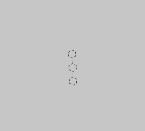 COc1[c]ccc(-c2ccc(-c3ccccc3)cc2Cl)c1